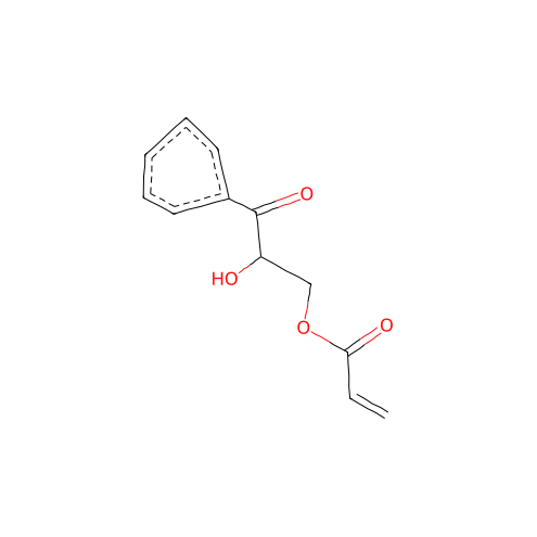 C=CC(=O)OCC(O)C(=O)c1ccccc1